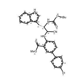 CCc1ccc(-c2ccc(NC(C#N)[C@H](Cc3c[nH]c4ccccc34)NC(=O)OC(C)(C)C)c(C(=O)OC)c2)cc1